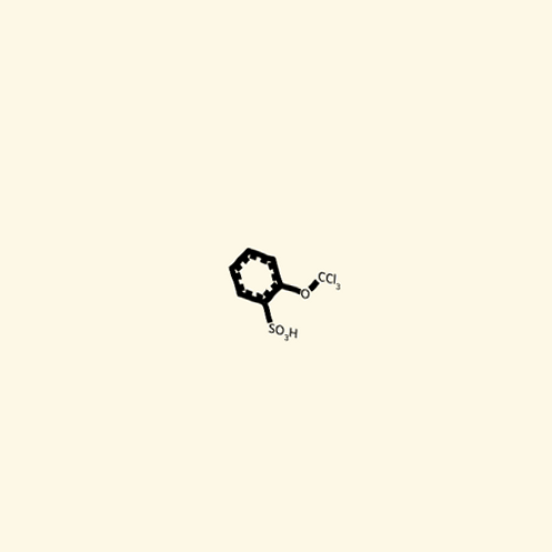 O=S(=O)(O)c1ccccc1OC(Cl)(Cl)Cl